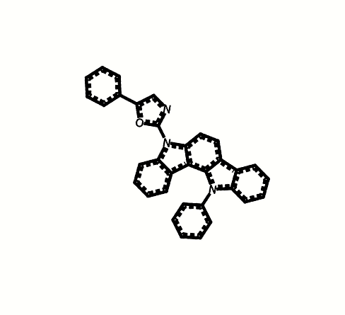 c1ccc(-c2cnc(-n3c4ccccc4c4c3ccc3c5ccccc5n(-c5ccccc5)c34)o2)cc1